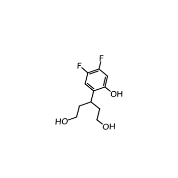 OCCC(CCO)c1cc(F)c(F)cc1O